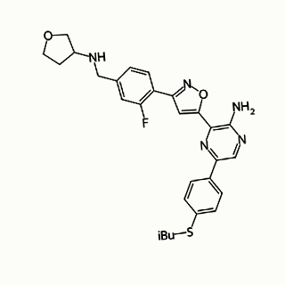 CCC(C)Sc1ccc(-c2cnc(N)c(-c3cc(-c4ccc(CNC5CCOC5)cc4F)no3)n2)cc1